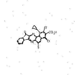 CCc1c(C(=O)O)c(=O)c2cc(F)c3nc4c(nc3c2n1C1CC1)C(=O)c1ccccc1-4